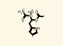 CC(=O)OC(Cc1ccc[nH]1)N(O)C(N)=O